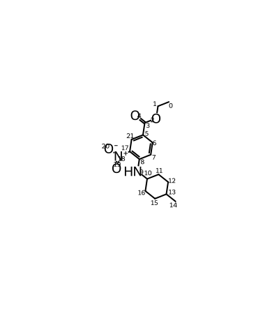 CCOC(=O)c1ccc(NC2CCC(C)CC2)c([N+](=O)[O-])c1